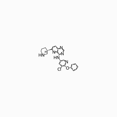 Clc1cc(Nc2ncnc3ccc([C@@H]4CCCNC4)nc23)cnc1Oc1ccccc1